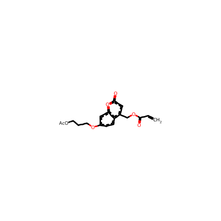 C=CC(=O)OCc1cc(=O)oc2cc(OCCCOC(C)=O)ccc12